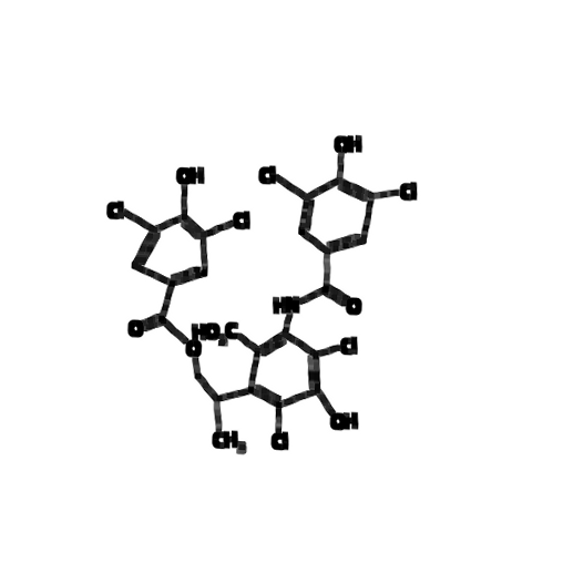 CC(COC(=O)c1cc(Cl)c(O)c(Cl)c1)c1c(Cl)c(O)c(Cl)c(NC(=O)c2cc(Cl)c(O)c(Cl)c2)c1C(=O)O